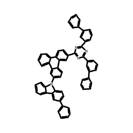 c1ccc(-c2cccc(-c3nc(-c4cccc(-c5ccccc5)c4)nc(-c4ccc5c6ccccc6c6cc(-n7c8ccccc8c8cc(-c9ccccc9)ccc87)ccc6c5c4)n3)c2)cc1